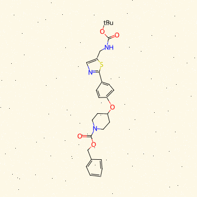 CC(C)(C)OC(=O)NCc1cnc(-c2ccc(OC3CCN(C(=O)OCc4ccccc4)CC3)cc2)s1